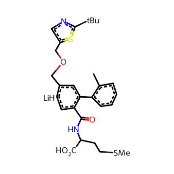 CSCCC(NC(=O)c1ccc(COCc2cnc(C(C)(C)C)s2)cc1-c1ccccc1C)C(=O)O.[LiH]